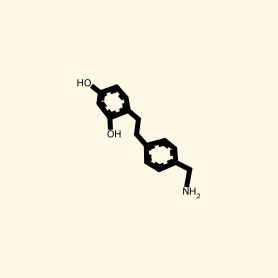 NCc1ccc(CCc2ccc(O)cc2O)cc1